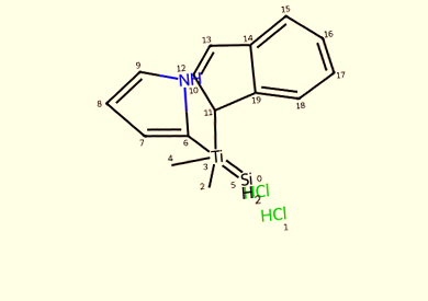 Cl.Cl.[CH3][Ti]([CH3])(=[SiH2])([c]1ccc[nH]1)[CH]1C=Cc2ccccc21